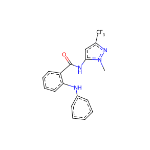 Cn1nc(C(F)(F)F)cc1NC(=O)c1ccccc1Nc1ccccc1